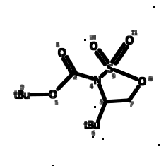 CC(C)(C)OC(=O)N1C(C(C)(C)C)COS1(=O)=O